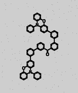 O=C(c1cccc(-c2cccc(-c3ccc4c(c3)Oc3ccccc3N4c3ccccc3)c2)c1)c1cccc(-c2cccc(-c3ccc4c(c3)Oc3ccccc3N4c3ccccc3)c2)c1